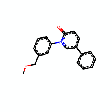 COCc1cccc(-n2cc(-c3ccccc3)ccc2=O)c1